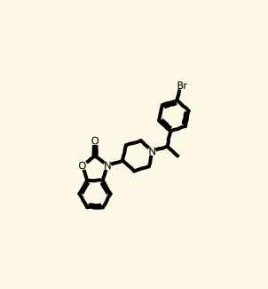 CC(c1ccc(Br)cc1)N1CCC(n2c(=O)oc3ccccc32)CC1